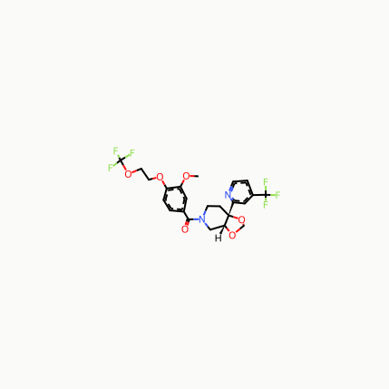 COc1cc(C(=O)N2CC[C@]3(c4cc(C(F)(F)F)ccn4)OCO[C@@H]3C2)ccc1OCCOC(F)(F)F